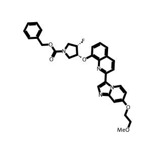 COCCOc1ccn2c(-c3ccc4cccc(O[C@@H]5CN(C(=O)OCc6ccccc6)C[C@@H]5F)c4n3)cnc2c1